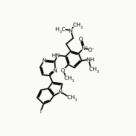 CNc1cc(OC)c(Nc2nccc(-c3cn(C)c4cc(I)ccc34)n2)c(CCN(C)C)c1[N+](=O)[O-]